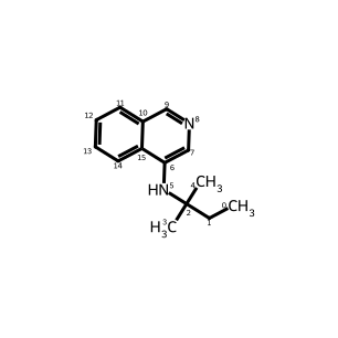 CCC(C)(C)Nc1cncc2ccccc12